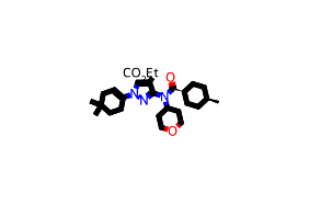 CCOC(=O)c1cn(C2=CCC(C)(C)CC2)nc1N(C(=O)[C@H]1CC[C@H](C)CC1)C1CCOCC1